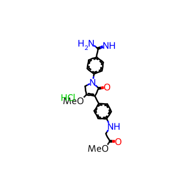 COC(=O)CNc1ccc(C2=C(OC)CN(c3ccc(C(=N)N)cc3)C2=O)cc1.Cl